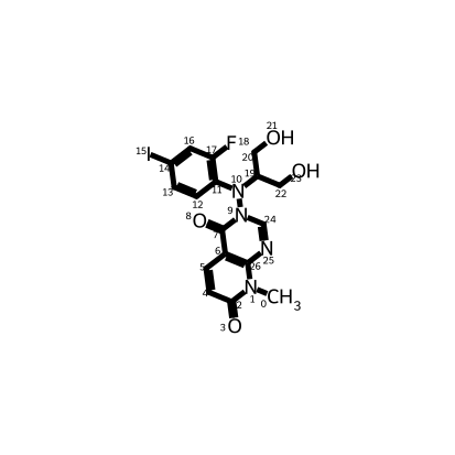 Cn1c(=O)ccc2c(=O)n(N(c3ccc(I)cc3F)C(CO)CO)cnc21